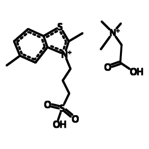 C[N+](C)(C)CC(=O)O.Cc1ccc2sc(C)[n+](CCCS(=O)(=O)O)c2c1